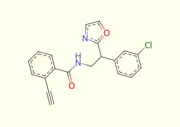 C#Cc1ccccc1C(=O)NCC(c1cccc(Cl)c1)c1ncco1